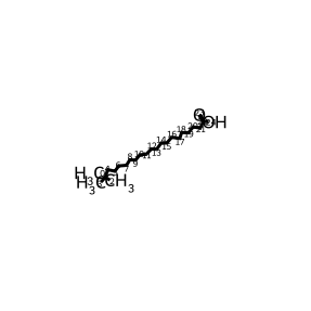 CC(C)(C)CCCCCCCCCCCCCCCCCCC(=O)O